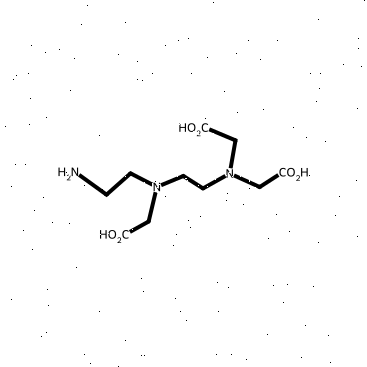 NCCN(CCN(CC(=O)O)CC(=O)O)CC(=O)O